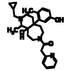 Cc1ccc(O)cc1C12CCN(C(=O)Cc3ccccn3)CCC1(O)C(C)N(CC1CC1)CC2